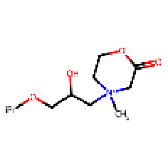 CC(C)OCC(O)C[N+]1(C)CCOC(=O)C1